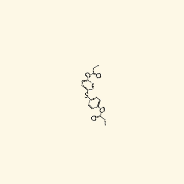 CCC(=O)Oc1ccc(Sc2ccc(OC(=O)CC)cc2)cc1